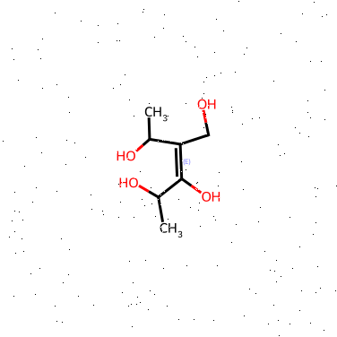 CC(O)/C(O)=C(/CO)C(C)O